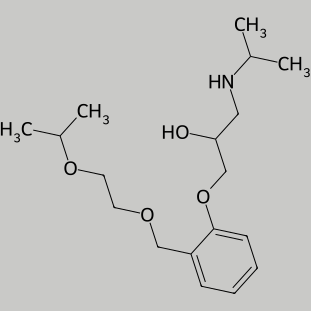 CC(C)NCC(O)COc1ccccc1COCCOC(C)C